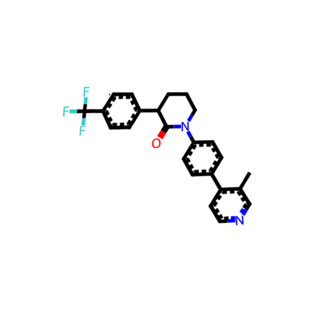 Cc1cnccc1-c1ccc(N2CCCC(c3c[c]c(C(F)(F)F)cc3)C2=O)cc1